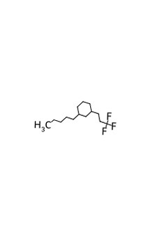 CCCCCC1CCCC(CCC(F)(F)F)C1